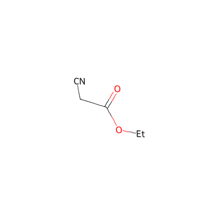 [CH2]COC(=O)CC#N